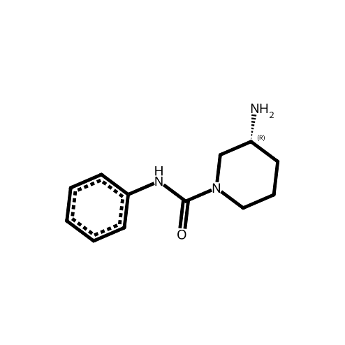 N[C@@H]1CCCN(C(=O)Nc2ccccc2)C1